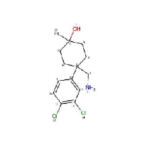 CCC1(O)CCC(CN)(c2ccc(Cl)c(Cl)c2)CC1